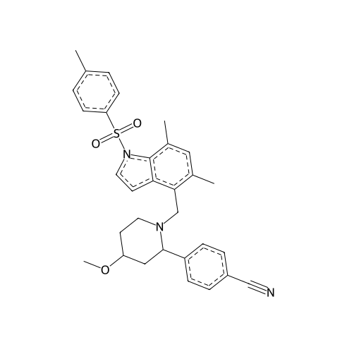 COC1CCN(Cc2c(C)cc(C)c3c2ccn3S(=O)(=O)c2ccc(C)cc2)C(c2ccc(C#N)cc2)C1